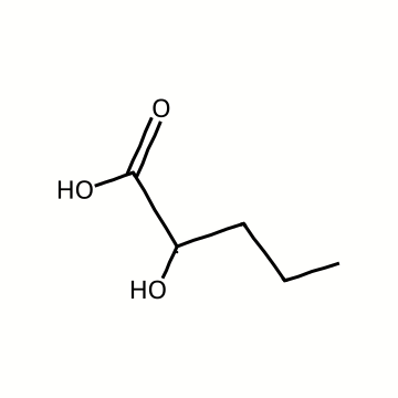 CCC[C](O)C(=O)O